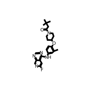 Cc1cc(Nc2ncnc3cnc(F)cc23)ccc1OC1CCN(C(=O)CC(C)(C)C)CC1